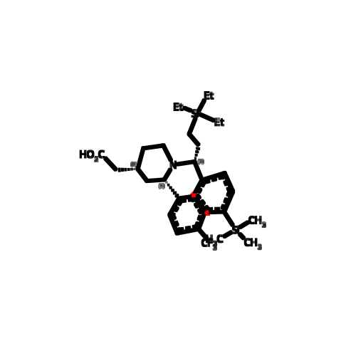 CC[Si](CC)(CC)CC[C@H](c1ccc([Si](C)(C)C)cc1)N1CC[C@@H](CC(=O)O)C[C@H]1c1ccc(C(F)(F)F)cc1